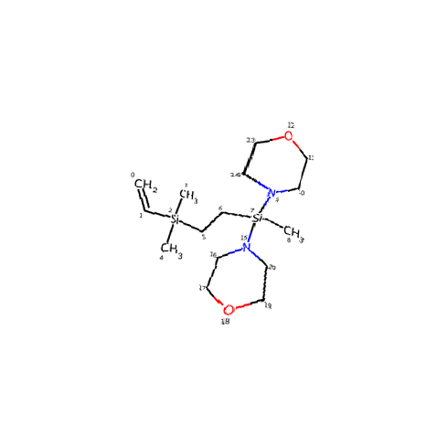 C=C[Si](C)(C)CC[Si](C)(N1CCOCC1)N1CCOCC1